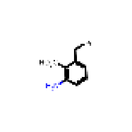 CC(C)Cc1cccc(N)c1C(=O)O